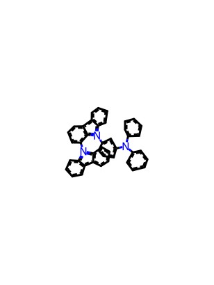 c1ccc(N(c2ccccc2)c2cccc(-n3c4ccccc4c4cccc(-n5c6ccccc6c6ccccc65)c43)c2)cc1